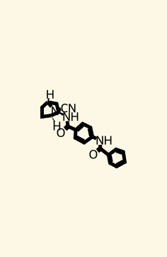 N#CN1[C@H]2CC[C@@H]1[C@H](NC(=O)c1ccc(NC(=O)c3ccccc3)cc1)C2